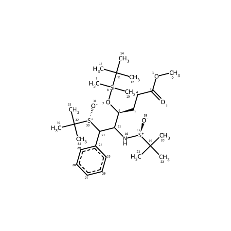 COC(=O)CC[C@H](O[Si](C)(C)C(C)(C)C)C(N[S@@+]([O-])C(C)(C)C)C(c1ccccc1)[S@@+]([O-])C(C)(C)C